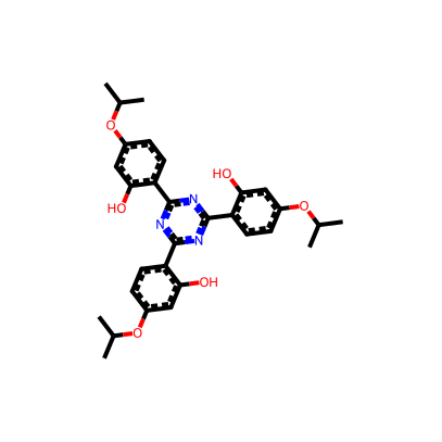 CC(C)Oc1ccc(-c2nc(-c3ccc(OC(C)C)cc3O)nc(-c3ccc(OC(C)C)cc3O)n2)c(O)c1